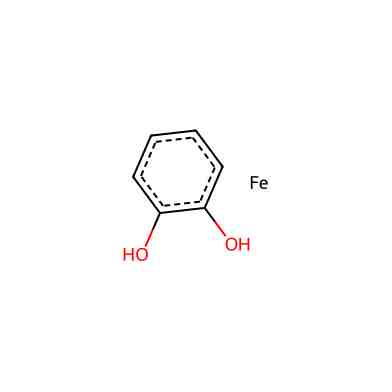 Oc1ccccc1O.[Fe]